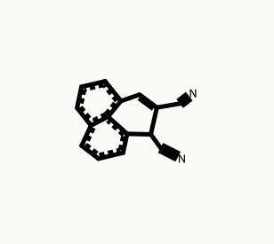 N#CC1=Cc2cccc3cccc(c23)C1C#N